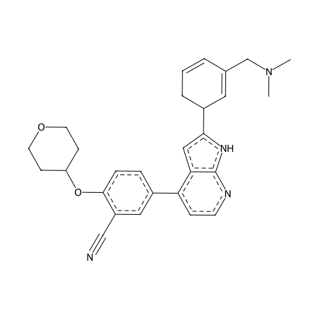 CN(C)CC1=CC(c2cc3c(-c4ccc(OC5CCOCC5)c(C#N)c4)ccnc3[nH]2)CC=C1